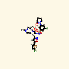 COc1c(N2CCCCC2=O)cc(F)cc1S(=O)(=O)N[C@@H](Cc1cc(-c2ccc(Cl)s2)on1)C(=O)N1CCN(C(C)C)CC1